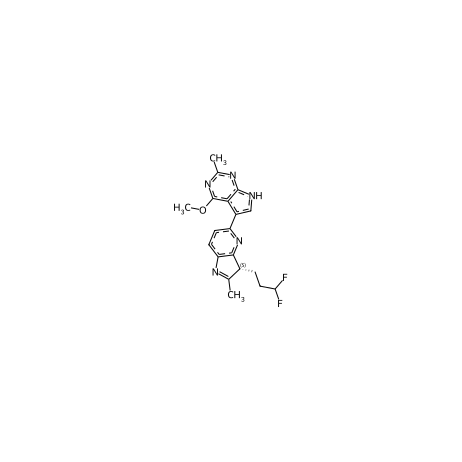 COc1nc(C)nc2[nH]cc(-c3ccc4c(n3)[C@H](CCC(F)F)C(C)=N4)c12